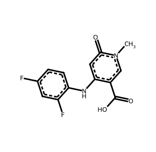 Cn1cc(C(=O)O)c(Nc2ccc(F)cc2F)cc1=O